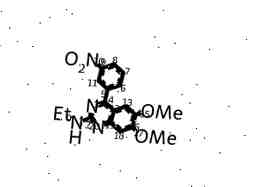 CCNc1nc(-c2cccc([N+](=O)[O-])c2)c2cc(OC)c(OC)cc2n1